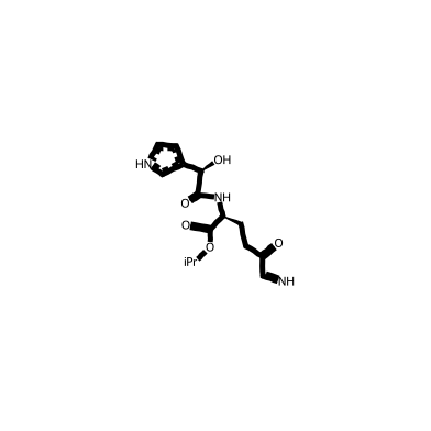 CC(C)OC(=O)[C@H](CCC(=O)C=N)NC(=O)[C@H](O)c1cc[nH]c1